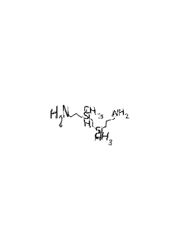 C[SiH](CCCN)CC[SiH](C)CCCN